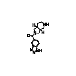 O=C(c1ccc2[nH]nnc2c1)N1C[C@H]2CNCC[C@H]2C1